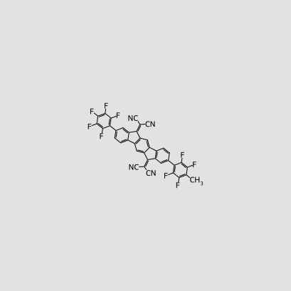 Cc1c(F)c(F)c(-c2ccc3c(c2)C(=C(C#N)C#N)c2cc4c(cc2-3)C(=C(C#N)C#N)c2cc(-c3c(F)c(F)c(F)c(F)c3F)ccc2-4)c(F)c1F